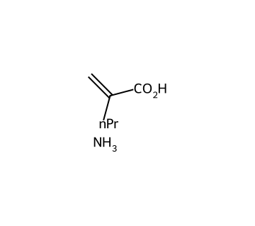 C=C(CCC)C(=O)O.N